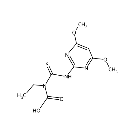 CCN(C(=O)O)C(=S)Nc1nc(OC)cc(OC)n1